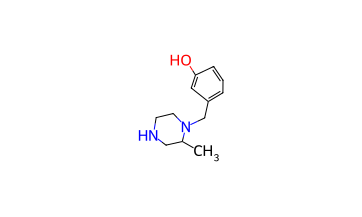 CC1CNCCN1Cc1cccc(O)c1